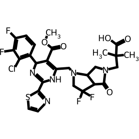 COC(=O)C1=C(CN2CC(F)(F)C3C(=O)N(CC(C)(C)C(=O)O)CC32)NC(c2nccs2)=NC1c1ccc(F)c(F)c1Cl